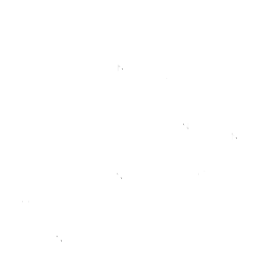 CC(C)(O)c1cnc(Cl)nc1Oc1ncc2c(c1F)-c1[nH]c3c(c1CC2)C(=O)NCC3